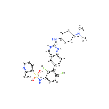 COc1ncccc1S(=O)(=O)Nc1ccc(F)c(-c2ccc3nc(NC4CCC(N(C)C)CC4)ncc3c2)c1F